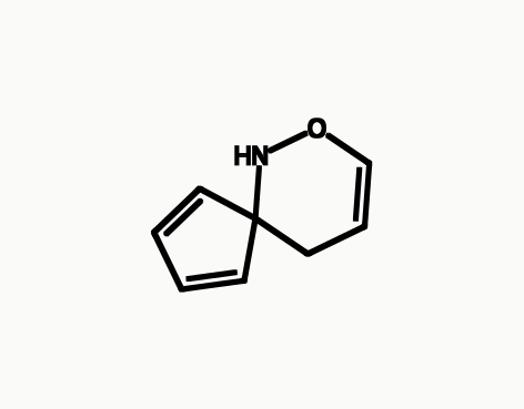 C1=CC2(C=C1)CC=CON2